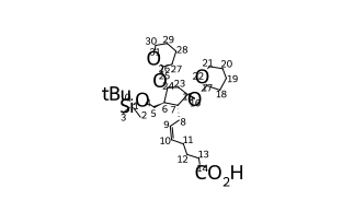 CC(C)(C)[Si](C)(C)OC[C@@H]1[C@@H](C/C=C\CCCC(=O)O)[C@H](OC2CCCCO2)C[C@H]1OC1CCCCO1